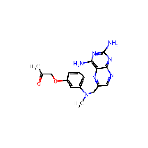 CC(=O)COc1cccc(N(C)Cc2cnc3nc(N)nc(N)c3n2)c1